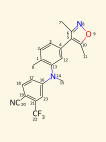 Cc1ccc(-c2c(C)noc2C)cc1N(C)c1ccc(C#N)c(C(F)(F)F)c1